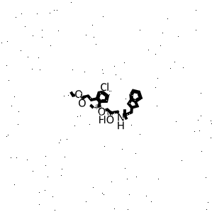 CCOC(=O)CCc1cc(Cl)ccc1[C@@H](CC)OC[C@H](O)CNC(C)(C)CC1Cc2ccccc2C1